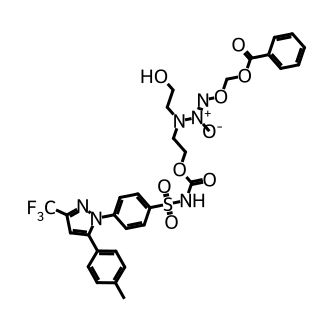 Cc1ccc(-c2cc(C(F)(F)F)nn2-c2ccc(S(=O)(=O)NC(=O)OCCN(CCO)[N+]([O-])=NOCOC(=O)c3ccccc3)cc2)cc1